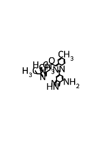 CCc1ncc(CN(C)C(=O)c2nc(-c3cc(N)c4c[nH]nc4c3)nc3ccc(C)cc23)n1C